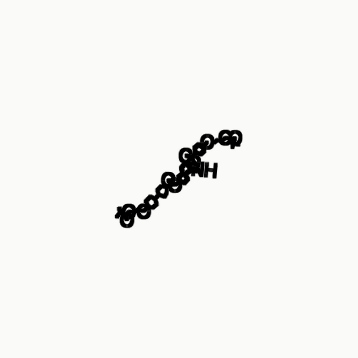 C=C(C)C(=O)OCCOC1CCC(C2CCC(C(=O)Oc3ccc4c(C=N)c(OC(=O)c5ccc(OCCCOC6OC6(C)C)cc5)ccc4c3)CC2)CC1